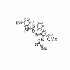 COC(=O)c1sc(-c2cccc(N(Cc3ccc(C(C)(C)C)cc3)C(=O)NC(C)C)c2)c(Br)c1OCC(=O)OC(C)(C)C